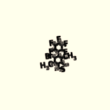 Cc1c(Br)c(-c2c(F)c(F)c(F)c(F)c2F)c(C)c2cscc12